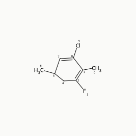 CC1=C(F)CC(C)C=C1Cl